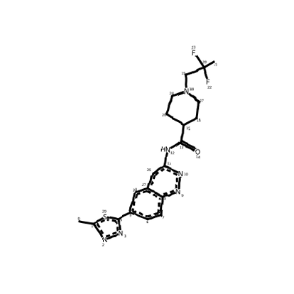 Cc1nnc(-c2ccc3nnc(NC(=O)C4CCN(CC(C)(F)F)CC4)cc3c2)s1